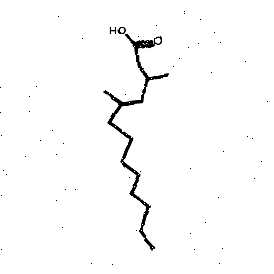 CCCCCCCCC(C)CC(C)CC(=O)O